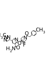 Cc1ccc(CC(=O)N2CC[C@@H](Oc3ncc(-c4cnn(C)n4)cc3C(N)=O)[C@@H](F)C2)cc1